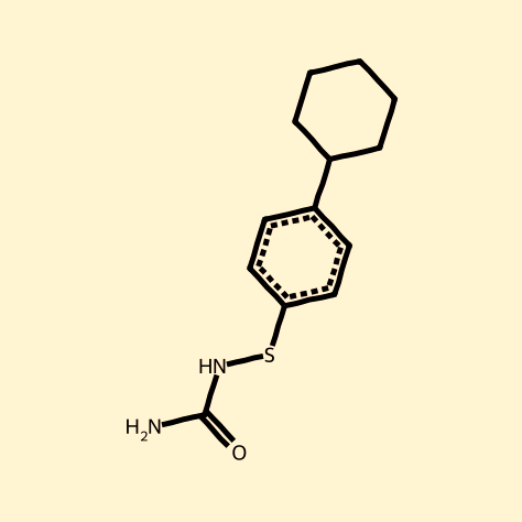 NC(=O)NSc1ccc(C2CCCCC2)cc1